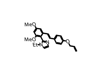 C=CCOc1ccc(C=Cc2cc(OC)cc(OC)c2-c2nccn2CC)cc1